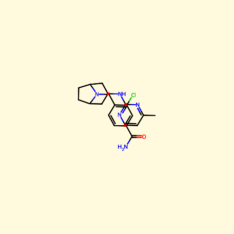 Cc1ccnc(NC2CC3CCC(C2)N3Cc2ccc(C(N)=O)cc2Cl)n1